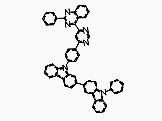 c1ccc(-c2nc(-c3cc(-c4ccc(-n5c6ccccc6c6ccc(-c7ccc8c(c7)c7ccccc7n8-c7ccccc7)cc65)cc4)ncn3)c3ccccc3n2)cc1